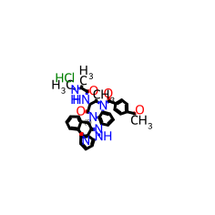 CNC(C)C(=O)NC1C(=O)N([C@@H](c2ccccc2C#N)c2n[nH]c3ccccc23)c2ccccc2N(C(=O)c2ccc(C(C)=O)cc2)C1C.Cl